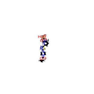 CC(C)(C)OC(=O)N1CCN(c2nnc([C@@H]3CC[C@@H]4CN3C(=O)N4OS(=O)(=O)O)s2)CC1